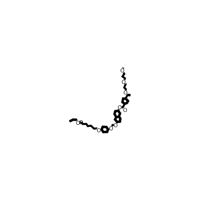 C=C=COOCCCCCCOc1ccc(OCOc2ccc3cc(OC(=O)c4ccc(C(=C)OCCCOCCCOC)cc4)ccc3c2)cc1